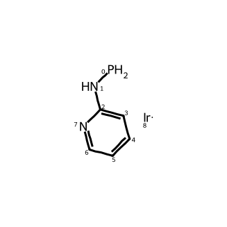 PNc1ccccn1.[Ir]